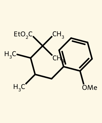 CCOC(=O)C(C)(C)C(C)C(C)Cc1ccccc1OC